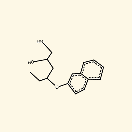 CCC(CC(O)C[NH])Oc1ccc2ccccc2c1